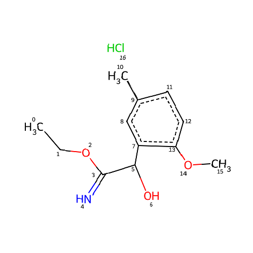 CCOC(=N)C(O)c1cc(C)ccc1OC.Cl